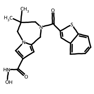 CC1(C)CN(C(=O)c2cc3ccccc3s2)Cc2cc(C(=O)NO)cn2C1